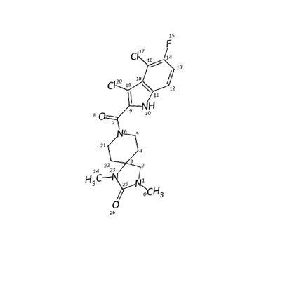 CN1CC2(CCN(C(=O)c3[nH]c4ccc(F)c(Cl)c4c3Cl)CC2)N(C)C1=O